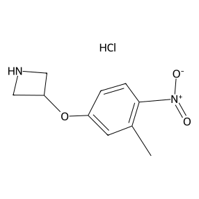 Cc1cc(OC2CNC2)ccc1[N+](=O)[O-].Cl